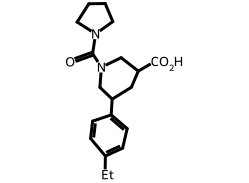 CCc1ccc(C2CC(C(=O)O)CN(C(=O)N3CCCC3)C2)cc1